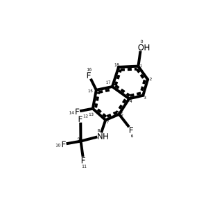 Oc1ccc2c(F)c(NC(F)(F)F)c(F)c(F)c2c1